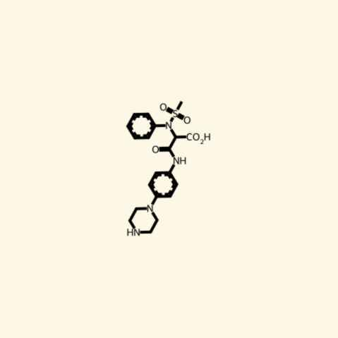 CS(=O)(=O)N(c1ccccc1)C(C(=O)O)C(=O)Nc1ccc(N2CCNCC2)cc1